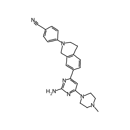 CN1CCN(c2cc(-c3ccc4c(c3)CN(c3ccc(C#N)cc3)CC4)nc(N)n2)CC1